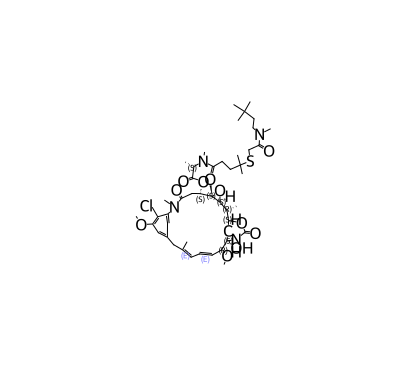 COc1cc2cc(c1Cl)N(C)C(=O)C[C@H](OC(=O)[C@H](C)N(C)C(=O)CCC(C)(C)SCC(=O)N(C)CCC(C)(C)C)[C@]1(C)O[C@H]1[C@H](C)[C@@H]1C[C@@](O)(NC(=O)O1)[C@H](OC)/C=C/C=C(\C)C2